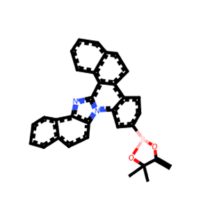 C=C1OB(c2ccc3c4ccc5ccccc5c4c4nc5c6ccccc6ccc5n4c3c2)OC1(C)C